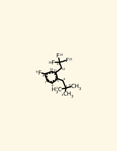 CC(C)(C)Cc1ccc(F)cc1CC(F)(F)F